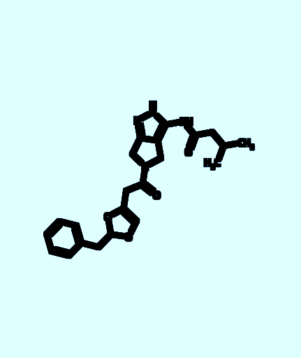 CC(C)CC(=O)Nc1[nH]nc2c1CN(C(=O)CC1=COC(Cc3ccccc3)O1)C2